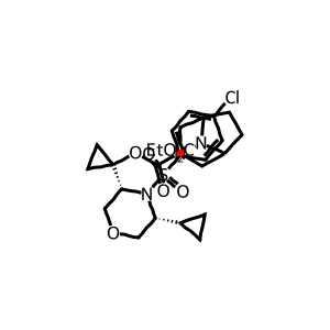 CCOC(=O)N1C2CCC1CN(C(=O)OC1([C@H]3COC[C@@H](C4CC4)N3S(=O)(=O)c3ccc(Cl)cc3)CC1)C2